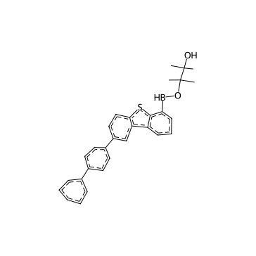 CC(C)(O)C(C)(C)OBc1cccc2c1sc1ccc(-c3ccc(-c4ccccc4)cc3)cc12